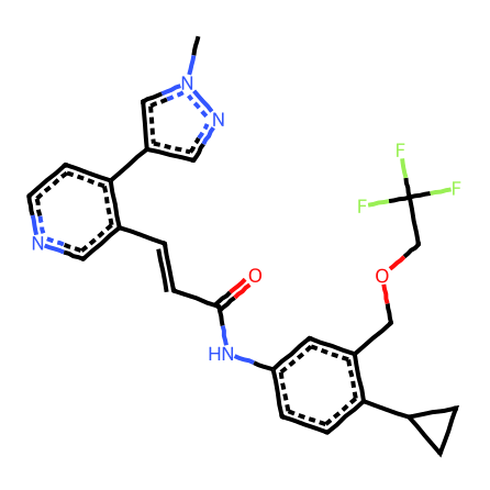 Cn1cc(-c2ccncc2C=CC(=O)Nc2ccc(C3CC3)c(COCC(F)(F)F)c2)cn1